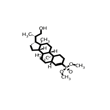 COP(=O)(OC)C1=C[C@@H]2CC[C@@H]3[C@H](CC[C@]4(C)[C@@H]([C@H](C)CO)CC[C@@H]34)[C@@]2(C)CC1